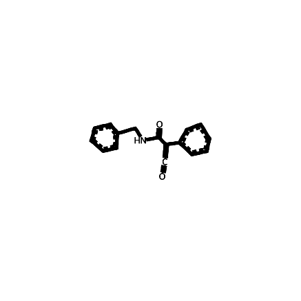 O=C=C(C(=O)NCc1ccccc1)c1ccccc1